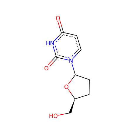 O=c1ccn(C2CC[C@@H](CO)O2)c(=O)[nH]1